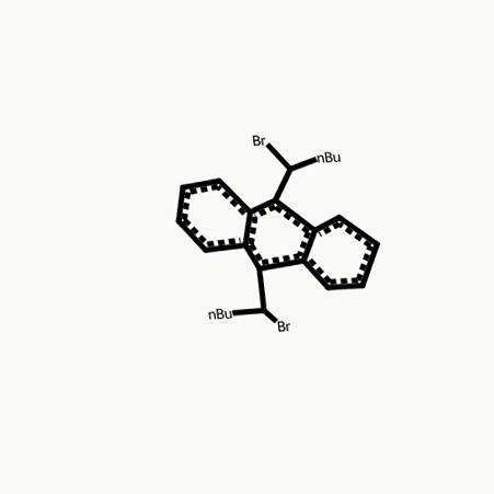 CCCCC(Br)c1c2ccccc2c(C(Br)CCCC)c2ccccc12